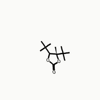 CC(C)(C)C1OC(=O)O[C@@]1(C)C(C)(C)C